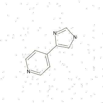 C1=NC(c2ccncc2)=C[N]1